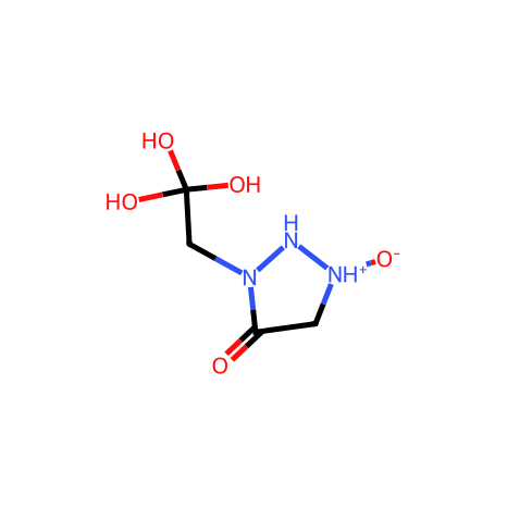 O=C1C[NH+]([O-])NN1CC(O)(O)O